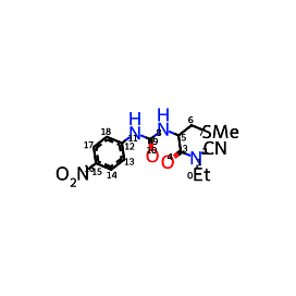 CCN(C#N)C(=O)C(CSC)NC(=O)Nc1ccc([N+](=O)[O-])cc1